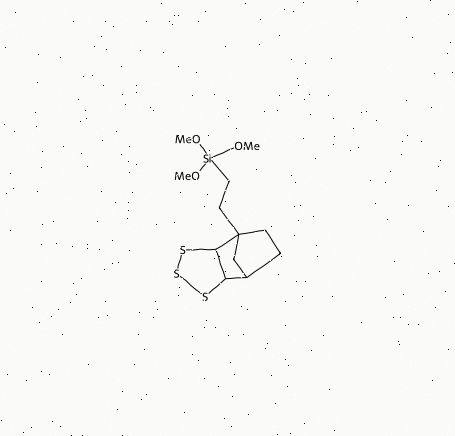 CO[Si](CCC12CCC(C1)C1SSSC12)(OC)OC